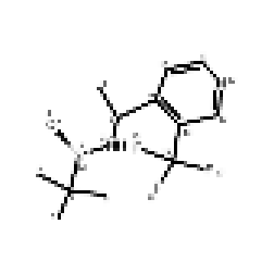 CC(N[S@+]([O-])C(C)(C)C)c1ccncc1C(F)(F)F